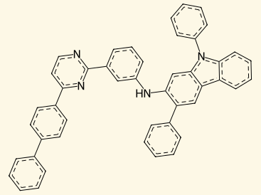 c1ccc(-c2ccc(-c3ccnc(-c4cccc(Nc5cc6c(cc5-c5ccccc5)c5ccccc5n6-c5ccccc5)c4)n3)cc2)cc1